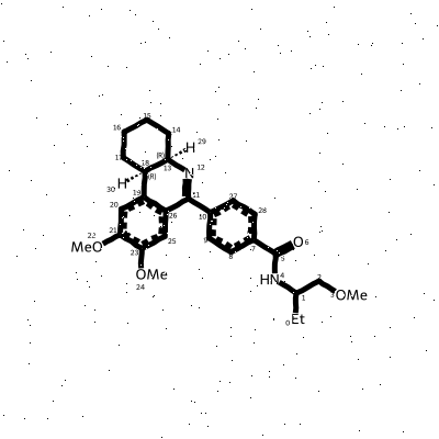 CCC(COC)NC(=O)c1ccc(C2=N[C@@H]3CCCC[C@@H]3c3cc(OC)c(OC)cc32)cc1